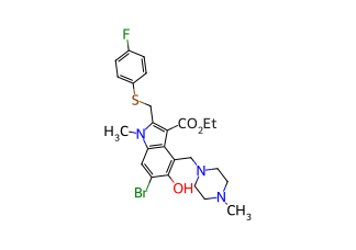 CCOC(=O)c1c(CSc2ccc(F)cc2)n(C)c2cc(Br)c(O)c(CN3CCN(C)CC3)c12